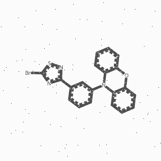 Brc1nc(-c2cccc(N3c4ccccc4Oc4ccccc43)c2)ns1